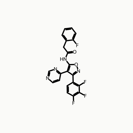 O=C(Cc1ccccc1F)Nc1onc(-c2ccc(F)c(F)c2F)c1-c1ccncn1